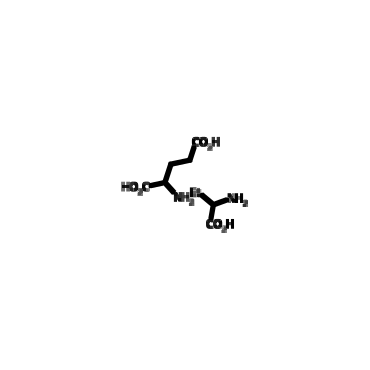 CCC(N)C(=O)O.NC(CCC(=O)O)C(=O)O